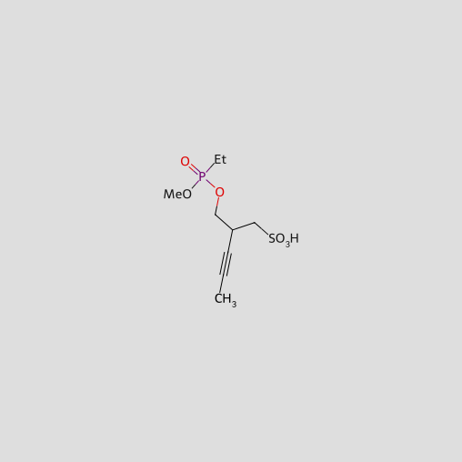 CC#CC(COP(=O)(CC)OC)CS(=O)(=O)O